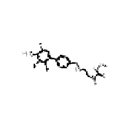 CCN(CCNCc1ccc(-c2cc(F)c(C)c(F)c2F)cc1)C(=O)OC(C)(C)C